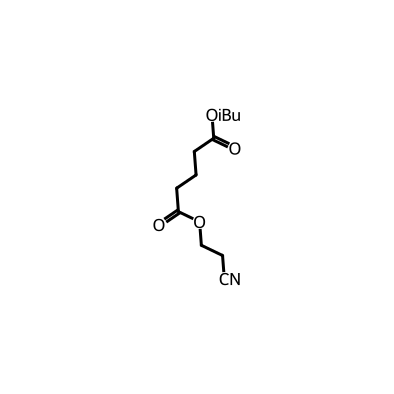 CC(C)COC(=O)CCCC(=O)OCCC#N